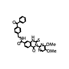 COc1cnc(-n2c(=S)[nH]c3cc(C(=O)NCc4ccc(C(=O)c5ccccc5)cc4)ccc3c2=O)nc1OC